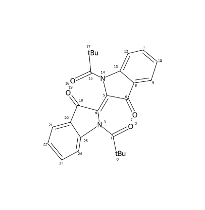 CC(C)(C)C(=O)N1C(=C2C(=O)c3ccccc3N2C(=O)C(C)(C)C)C(=O)c2ccccc21